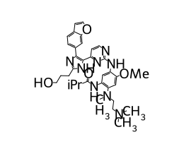 COc1cc(N(C)CCN(C)C)c(NC(=O)C(C)C)cc1Nc1nccc(-c2[nH]c(CCCO)nc2-c2ccc3ccoc3c2)n1